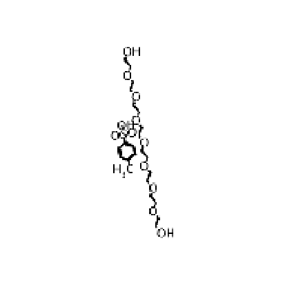 Cc1ccc(S(=O)(=O)O)cc1.OCCOCCOCCOCCOCCOCCOCCOCCO